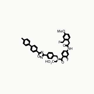 COc1ccc(CC(=O)Nc2ccc(C(=O)N(CC(=O)O)Cc3ccc(-c4noc(-c5ccc(-c6ccc(C)cc6)cc5)n4)cc3)c(F)c2)c(CF)c1